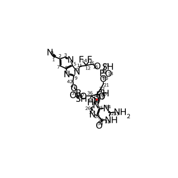 N#Cc1cnc2c(c1)nc1n2CC(F)(F)COP(=O)(S)OC[C@H]2O[C@@H](n3cnc4c(=O)[nH]c(N)nc43)[C@H](OP(=O)(S)OC1)[C@@H]2F